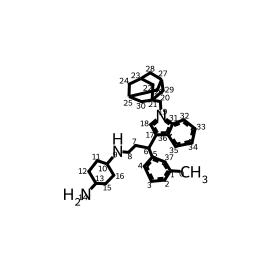 Cc1cccc(C(CCNC2CCC(N)CC2)c2cn(CC34CC5CC(CC(C5)C3)C4)c3ccccc23)c1